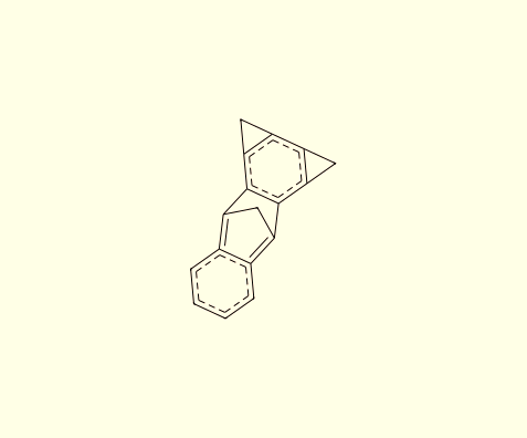 c1ccc2c(c1)=C1CC=2c2c3c(c4c(c21)C4)C3